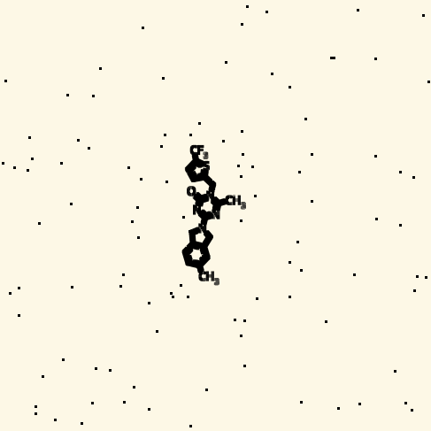 Cc1ccc2c(c1)CN(c1nc(C)n(Cc3ccc(C(F)(F)F)s3)c(=O)n1)C2